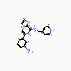 Nc1cccc(-c2cn3ccnc3c(NCc3ccncc3)n2)c1